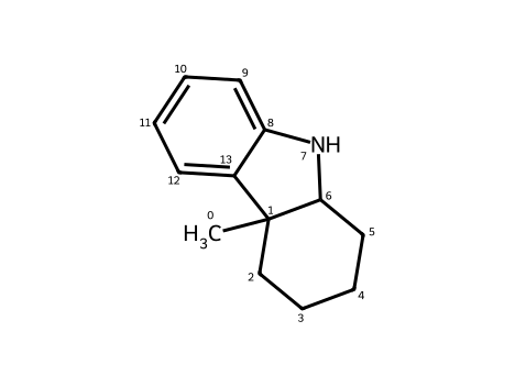 CC12CCCCC1Nc1ccccc12